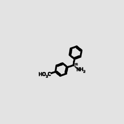 N[C@@H](c1ccccc1)c1ccc(C(=O)O)cc1